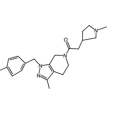 Cc1nn(Cc2ccc(F)cc2)c2c1CCN(C(=O)CC1CCN(C)C1)C2